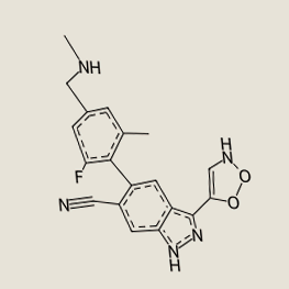 CNCc1cc(C)c(-c2cc3c(C4=CNOO4)n[nH]c3cc2C#N)c(F)c1